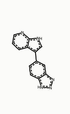 c1cnc2[nH]cc(-c3ccc4[nH]nnc4c3)c2c1